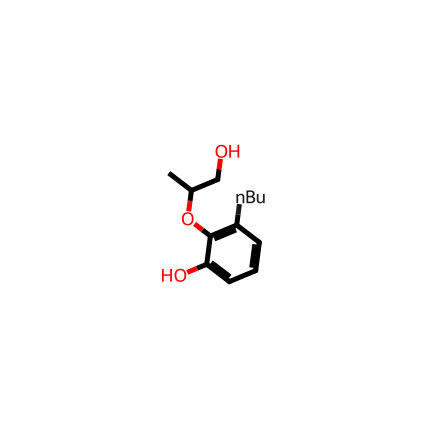 CCCCc1cccc(O)c1OC(C)CO